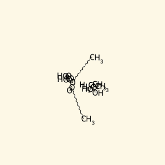 CCCCCCCCCCCCCCCC(=O)OC[C@H](COP(=O)(O)O)OC(=O)CCCCCCCCCCCCCCC.CCO.C[N+](C)(C)CCO